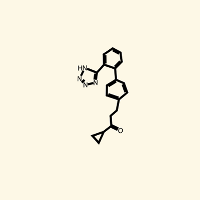 O=C(CCc1ccc(-c2ccccc2-c2nnn[nH]2)cc1)C1CC1